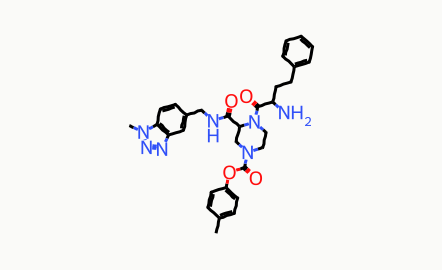 Cc1ccc(OC(=O)N2CCN(C(=O)C(N)CCc3ccccc3)C(C(=O)NCc3ccc4c(c3)nnn4C)C2)cc1